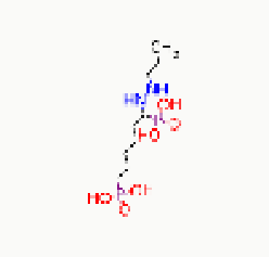 CCCNNC(CCCCCP(=O)(O)O)P(=O)(O)O